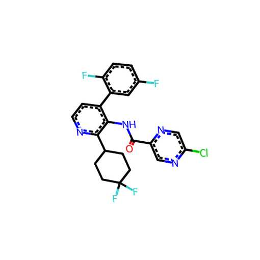 O=C(Nc1c(-c2cc(F)ccc2F)ccnc1C1CCC(F)(F)CC1)c1cnc(Cl)cn1